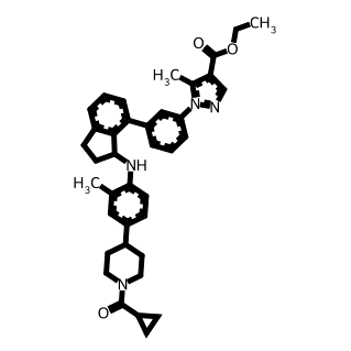 CCOC(=O)c1cnn(-c2cccc(-c3cccc4c3C(Nc3ccc(C5CCN(C(=O)C6CC6)CC5)cc3C)CC4)c2)c1C